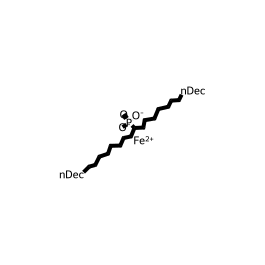 CCCCCCCCCCCCCCCCCCC(CCCCCCCCCCCCCCCCC)P(=O)([O-])[O-].[Fe+2]